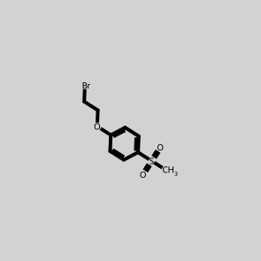 CS(=O)(=O)c1ccc(OCCBr)cc1